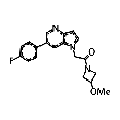 COC1CN(C(=O)Cn2ccc3ncc(-c4ccc(F)cc4)cc32)C1